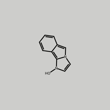 On1ccn2cc3ccccc3c12